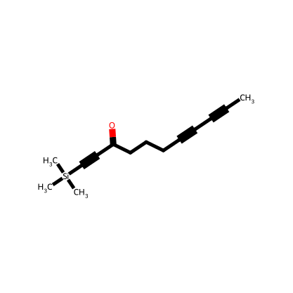 CC#CC#CCCCC(=O)C#C[Si](C)(C)C